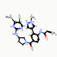 C=CC(=O)Nc1ccc(C(=O)N2CCC(Nc3ncc(Cl)c(OC)n3)C2)cc1-c1cnn(C)c1